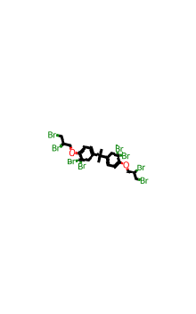 CC(C)(C1=CC=C(OCC(Br)CBr)C(Br)(Br)C1)C1=CC=C(OCC(Br)CBr)C(Br)(Br)C1